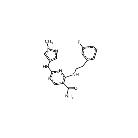 Cn1cc(Nc2ncc(C(N)=O)c(NCCc3cccc(F)c3)n2)cn1